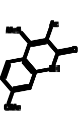 COc1ccc2c(SC)c(C(C)=O)c(=O)[nH]c2c1